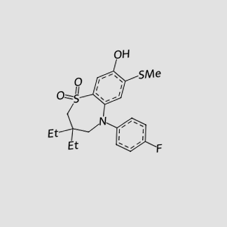 CCC1(CC)CN(c2ccc(F)cc2)c2cc(SC)c(O)cc2S(=O)(=O)C1